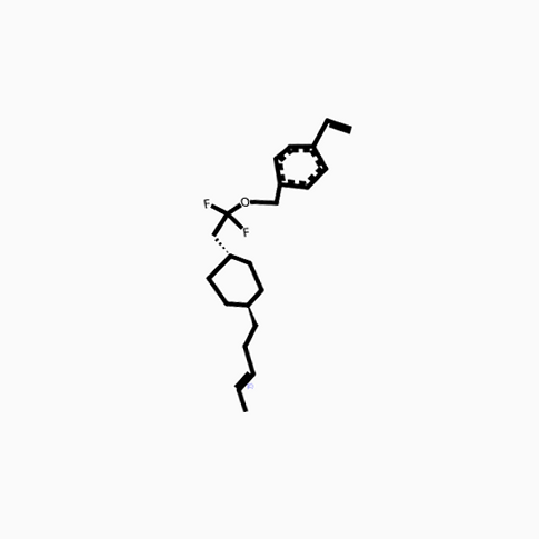 C=Cc1ccc(COC(F)(F)C[C@H]2CC[C@H](CC/C=C/C)CC2)cc1